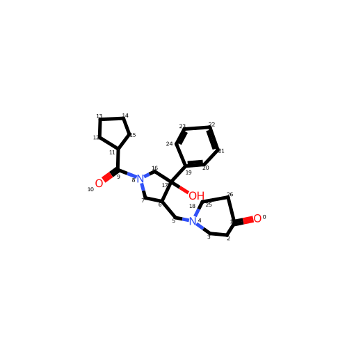 O=C1CCN(CC2CN(C(=O)C3CCCC3)CC2(O)c2ccccc2)CC1